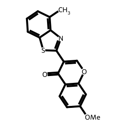 COc1ccc2c(=O)c(-c3nc4c(C)cccc4s3)coc2c1